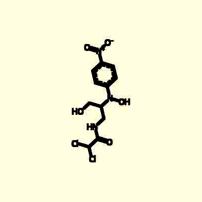 O=C(NCC(CO)N(O)c1ccc([N+](=O)[O-])cc1)C(Cl)Cl